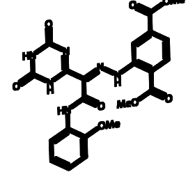 COC(=O)c1ccc(C(=O)OC)c(N/N=C(\C(=O)Nc2ccccc2OC)c2nc(=O)[nH]c(=O)[nH]2)c1